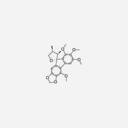 COc1cc2c(c(OC)c1OC)[C@@]1(OC[C@@H](C)[C@H]1C)c1cc3c(c(OC)c1-2)OCO3